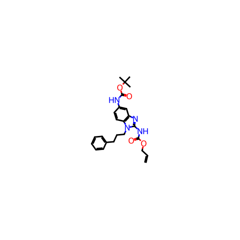 C=CCOC(=O)Nc1nc2cc(NC(=O)OC(C)(C)C)ccc2n1CCCc1ccccc1